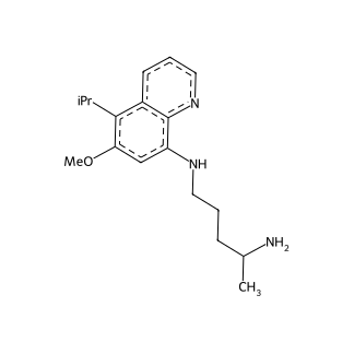 COc1cc(NCCCC(C)N)c2ncccc2c1C(C)C